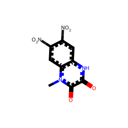 Cn1c(=O)c(=O)[nH]c2cc([N+](=O)[O-])c([N+](=O)[O-])cc21